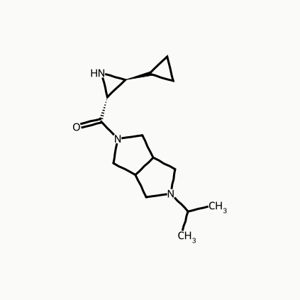 CC(C)N1CC2CN(C(=O)[C@@H]3N[C@H]3C3CC3)CC2C1